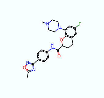 Cc1nc(-c2ccc(NC(=O)C3CCc4cc(F)cc(N5CCN(C)CC5)c4O3)cc2)no1